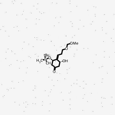 COCOCC/C=C1\[C@H](O)CC(=O)C[C@H]1O[Si](C)(C)C(C)(C)C